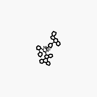 NC(/C=C(\N=C\c1ccc(-c2c3ccccc3cc3c2ccc2ccccc23)cc1)c1cc2c3ccccc3c3ccccc3c2c2ccccc12)c1ccccc1-c1ccccc1